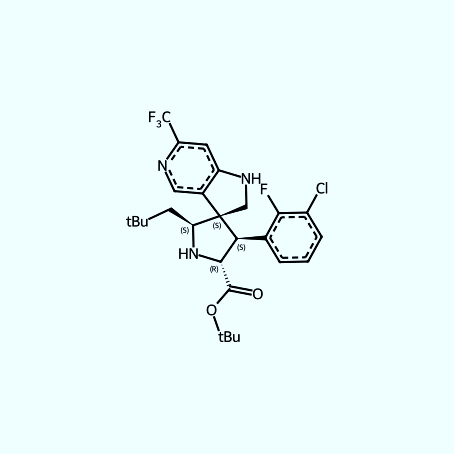 CC(C)(C)C[C@@H]1N[C@@H](C(=O)OC(C)(C)C)[C@H](c2cccc(Cl)c2F)[C@]12CNc1cc(C(F)(F)F)ncc12